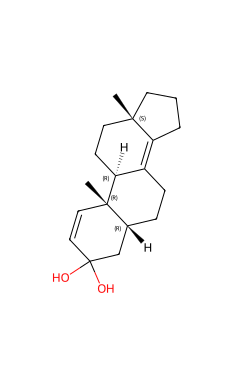 C[C@@]12CCCC1=C1CC[C@@H]3CC(O)(O)C=C[C@]3(C)[C@H]1CC2